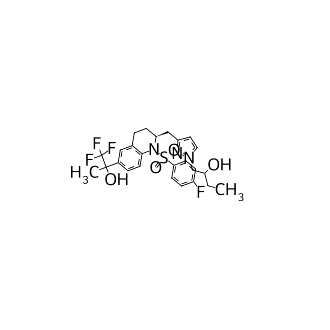 CCC(O)Cn1ccc(C[C@@H]2CCc3cc(C(C)(O)C(F)(F)F)ccc3N2S(=O)(=O)c2ccc(F)cc2)n1